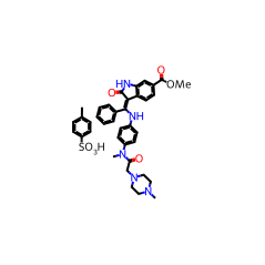 COC(=O)c1ccc2c(c1)NC(=O)C2=C(Nc1ccc(N(C)C(=O)CN2CCN(C)CC2)cc1)c1ccccc1.Cc1ccc(S(=O)(=O)O)cc1